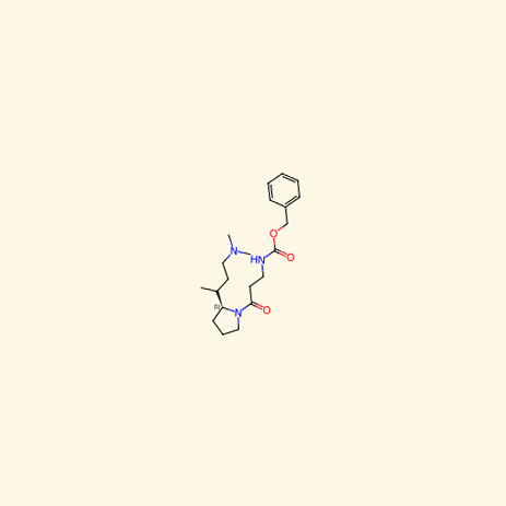 CC(CCN(C)C)[C@@H]1CCCN1C(=O)CCNC(=O)OCc1ccccc1